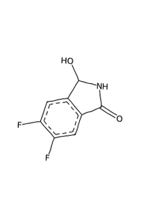 O=C1NC(O)c2cc(F)c(F)cc21